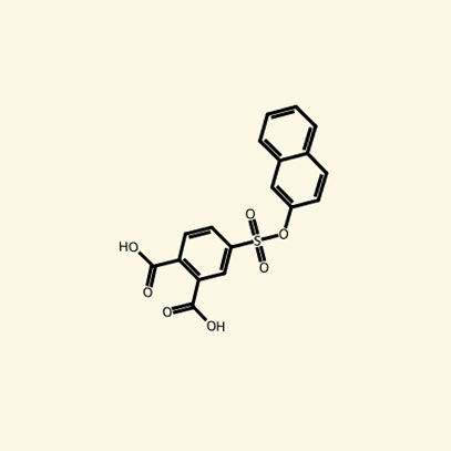 O=C(O)c1ccc(S(=O)(=O)Oc2ccc3ccccc3c2)cc1C(=O)O